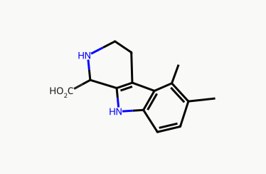 Cc1ccc2[nH]c3c(c2c1C)CCNC3C(=O)O